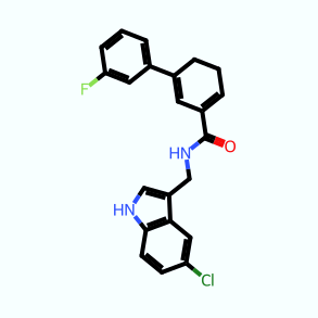 O=C(NCc1c[nH]c2ccc(Cl)cc12)C1=CCCC(c2cccc(F)c2)=C1